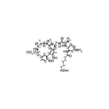 CCCCCCCCCCCCCCCC(=O)N[C@H](CC(N)=O)C(=O)N[C@H](N)C(=O)NCC(=O)N(C)[C@@H]1C(=O)N[C@@H](C)C(=O)N[C@H](C(=O)O)Cc2ccc(O)c(c2)-c2cc1ccc2O